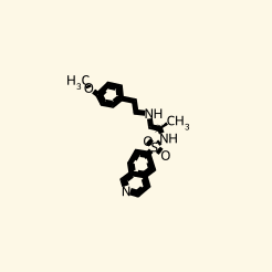 COc1ccc(CCNC[C@@H](C)NS(=O)(=O)c2ccc3cnccc3c2)cc1